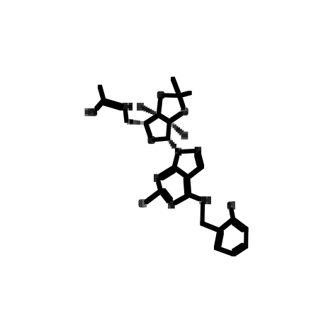 CC(O)=[SH]C[C@H]1O[C@@H](n2ncc3c(NCc4ccccc4Cl)nc(Cl)nc32)[C@@H]2OC(C)(C)O[C@@H]21